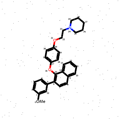 COc1cccc(-c2ccc3ccccc3c2Oc2ccc(OCCN3CCCCC3)cc2)c1